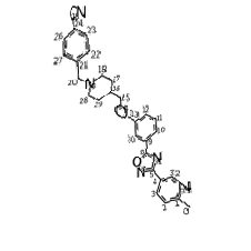 Cc1ccc(-c2noc(-c3cccc(OCC4CCN(Cc5ccc(C#N)cc5)CC4)c3)n2)cn1